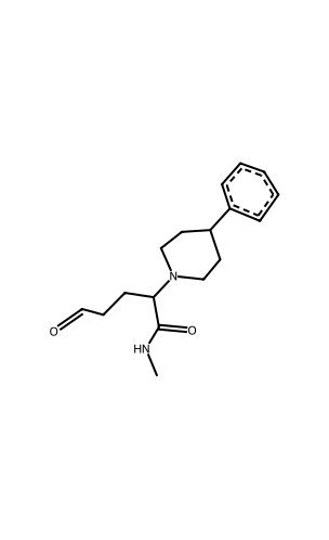 CNC(=O)C(CCC=O)N1CCC(c2ccccc2)CC1